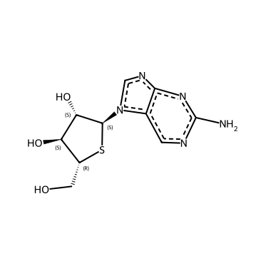 Nc1ncc2c(ncn2[C@H]2S[C@H](CO)[C@@H](O)[C@@H]2O)n1